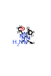 C#Cc1nc(N)n2nc(-c3ccco3)nc2n1.c1cc2cc-2c1